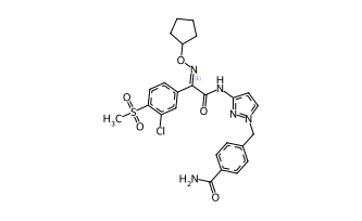 CS(=O)(=O)c1ccc(/C(=N\OC2CCCC2)C(=O)Nc2ccn(Cc3ccc(C(N)=O)cc3)n2)cc1Cl